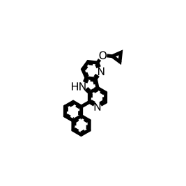 c1ccc2c(-c3nccc4c3[nH]c3ccc(OC5CC5)nc34)cccc2c1